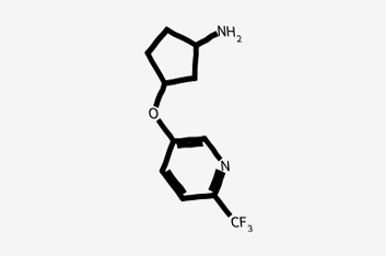 NC1CCC(Oc2ccc(C(F)(F)F)nc2)C1